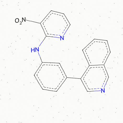 O=[N+]([O-])c1cccnc1Nc1cccc(-c2cncc3ccccc23)c1